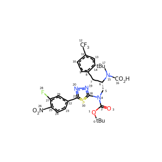 CC(C)(C)OC(=O)N(C[C@H](Cc1ccc(C(F)(F)F)cc1)N(C(=O)O)C(C)(C)C)c1nnc(-c2ccc([N+](=O)[O-])c(F)c2)s1